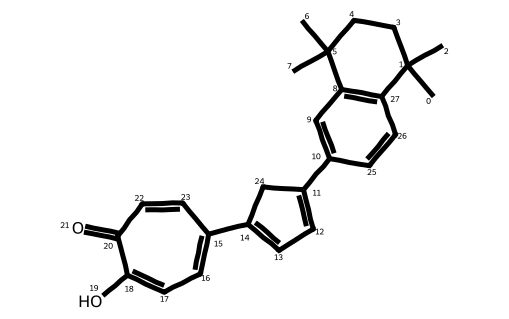 CC1(C)CCC(C)(C)c2cc(C3=CC=C(c4ccc(O)c(=O)cc4)C3)ccc21